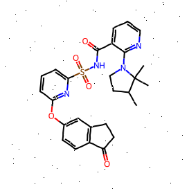 CC1CCN(c2ncccc2C(=O)NS(=O)(=O)c2cccc(Oc3ccc4c(c3)CCC4=O)n2)C1(C)C